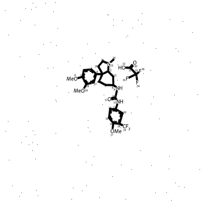 COc1ccc(C23CCC(NC(=O)Nc4ccc(OC)c(C(F)(F)F)c4)CC2N(C)CC3)cc1OC.O=C(O)C(F)(F)F